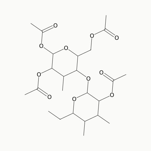 CCC1OC(OC2C(COC(C)=O)OC(OC(C)=O)C(OC(C)=O)C2C)C(OC(C)=O)C(C)C1C